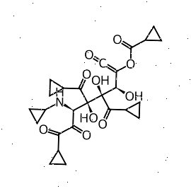 O=C=C(OC(=O)C1CC1)[C@@H](O)[C@](O)(C(=O)C1CC1)[C@@](O)(C(=O)C1CC1)[C@H](NC1CC1)C(=O)C(=O)C1CC1